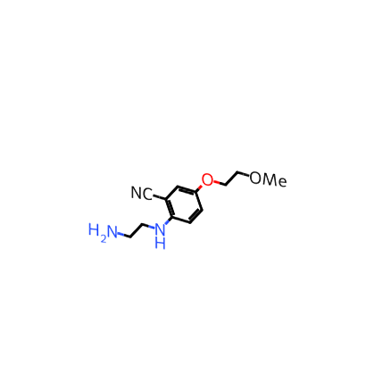 COCCOc1ccc(NCCN)c(C#N)c1